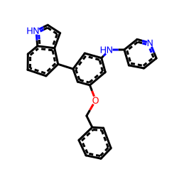 c1ccc(COc2cc(Nc3cccnc3)cc(-c3cccc4[nH]ccc34)c2)cc1